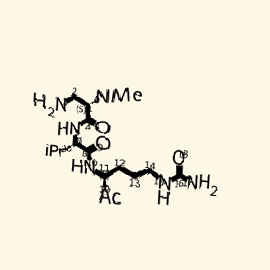 CN[C@@H](CN)C(=O)N[C@H](C(=O)N[C@@H](CCCNC(N)=O)C(C)=O)C(C)C